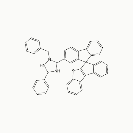 c1ccc(CN2NC(c3ccccc3)NC2c2ccc3c(c2)C2(c4ccccc4-3)c3ccccc3-c3c2sc2ccccc32)cc1